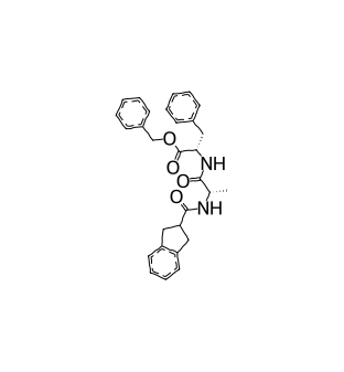 C[C@H](NC(=O)C1Cc2ccccc2C1)C(=O)N[C@@H](Cc1ccccc1)C(=O)OCc1ccccc1